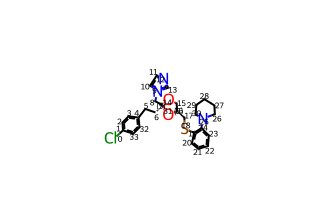 Clc1ccc(CC[C@]2(Cn3ccnc3)OC[C@@H](CSc3ccccc3N3CCCCC3)O2)cc1